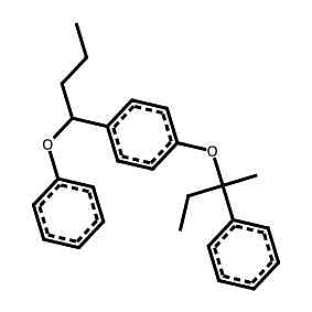 CCCC(Oc1ccccc1)c1ccc(OC(C)(CC)c2ccccc2)cc1